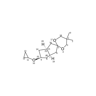 CC1(C)COC2(C[C@H]3C[C@@H](OC4CC4)C[C@H]3C2)OC1